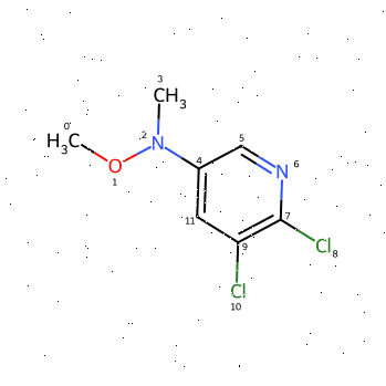 CON(C)c1cnc(Cl)c(Cl)c1